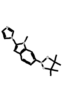 Cn1c(-n2ccnc2)cc2ccc(B3OC(C)(C)C(C)(C)O3)cc21